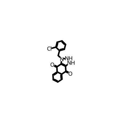 O=c1c2[nH][nH]n(Cc3ccccc3Cl)c=2c(=O)c2ccccc12